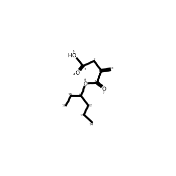 C=C(CC(=O)O)C(=O)OC(CC)CCC